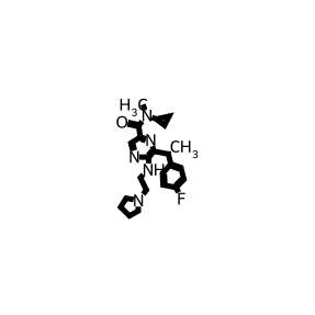 C[C@H](c1ccc(F)cc1)c1nc(C(=O)N(C)C2CC2)cnc1NCCN1CCCC1